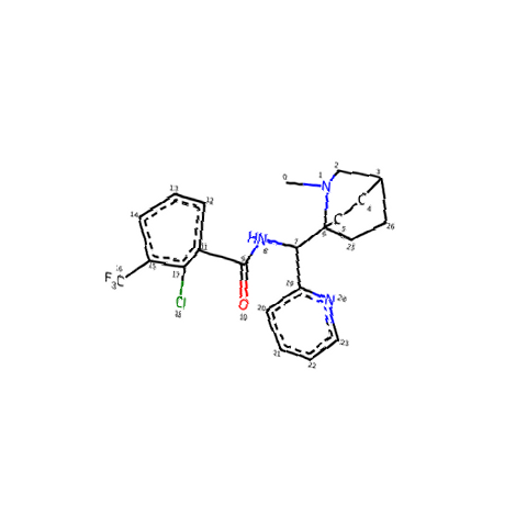 CN1CC2CCC1(C(NC(=O)c1cccc(C(F)(F)F)c1Cl)c1ccccn1)CC2